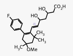 COC1(C)CC(c2ccc(F)cc2)=C(/C=C/C(O)CC(O)CC(=O)O)C(C)(C)C1